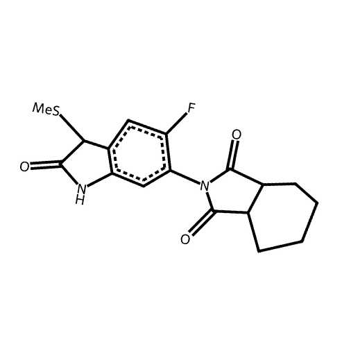 CSC1C(=O)Nc2cc(N3C(=O)C4CCCCC4C3=O)c(F)cc21